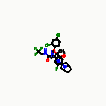 CC(C)(Oc1ccc(Cl)cc1Cl)C(=O)NC1CC2CCC(C1)N2c1ccc(NC(=O)NCC(F)(F)F)cc1F